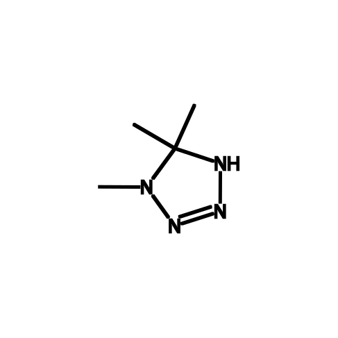 CN1N=NNC1(C)C